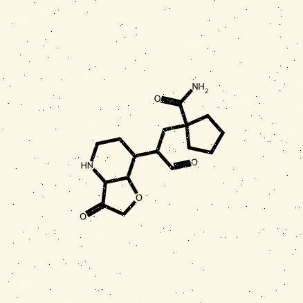 NC(=O)C1(C[C](C=O)C2CCNC3C(=O)COC23)CCCC1